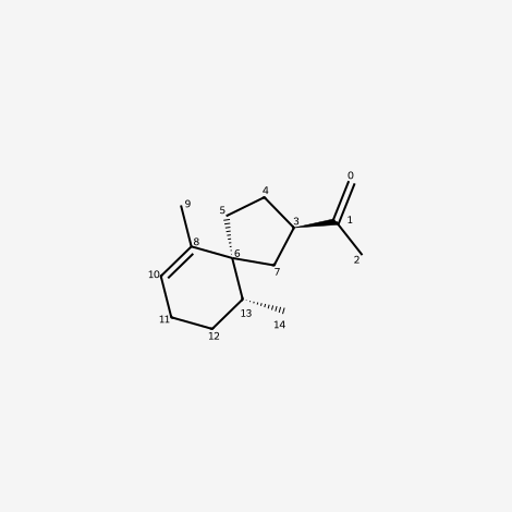 C=C(C)[C@@H]1CC[C@@]2(C1)C(C)=CCC[C@H]2C